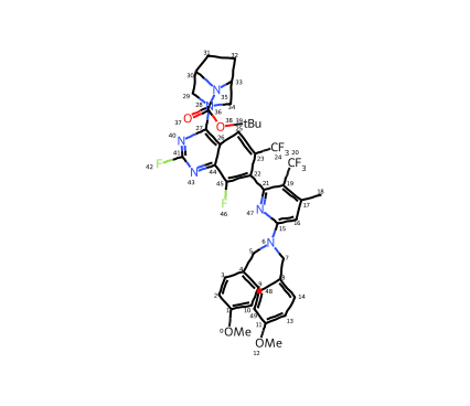 COc1ccc(CN(Cc2ccc(OC)cc2)c2cc(C)c(C(F)(F)F)c(-c3c(C(F)(F)F)cc4c(N5CC6CCC(C5)N6C(=O)OC(C)(C)C)nc(F)nc4c3F)n2)cc1